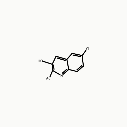 CC(=O)c1nc2ccc(Cl)cc2cc1O